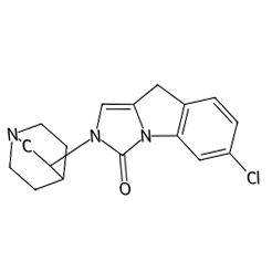 O=c1n(C2CN3CCC2CC3)cc2n1-c1cc(Cl)ccc1C2